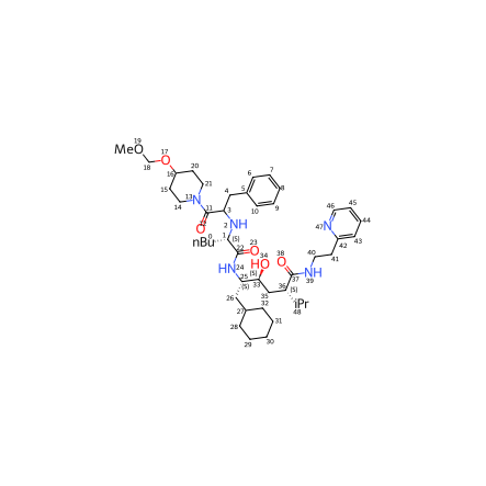 CCCC[C@H](NC(Cc1ccccc1)C(=O)N1CCC(OCOC)CC1)C(=O)N[C@@H](CC1CCCCC1)[C@@H](O)C[C@H](C(=O)NCCc1ccccn1)C(C)C